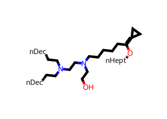 CCCCCCCCCCCCN(CCCCCCCCCCCC)CCN(CCO)CCCCCC(OCCCCCCC)=C1CC1